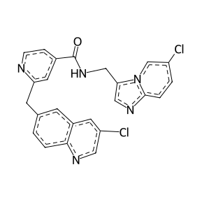 O=C(NCc1cnc2ccc(Cl)cn12)c1ccnc(Cc2ccc3ncc(Cl)cc3c2)c1